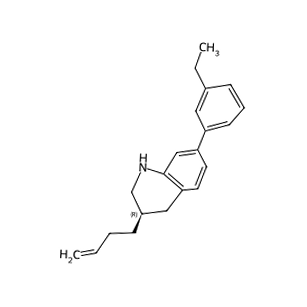 C=CCC[C@H]1CNc2cc(-c3cccc(CC)c3)ccc2C1